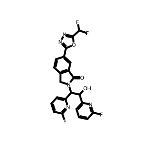 O=C1c2cc(-c3nnc(C(F)F)o3)ccc2CN1C(c1cccc(F)n1)C(O)c1cccc(F)n1